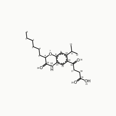 CCCCCCC1Oc2cc(C(C)C)c(C(=O)CCC(=O)O)cc2NC1=O